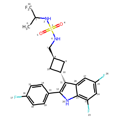 CC(NS(=O)(=O)NC[C@H]1C[C@H](c2c(-c3ccc(F)cc3)[nH]c3c(F)cc(F)cc32)C1)C(F)(F)F